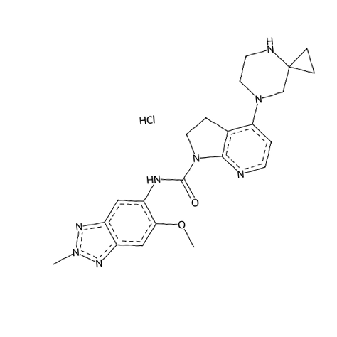 COc1cc2nn(C)nc2cc1NC(=O)N1CCc2c(N3CCNC4(CC4)C3)ccnc21.Cl